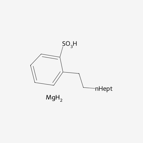 CCCCCCCCCc1ccccc1S(=O)(=O)O.[MgH2]